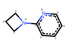 c1ccc(N2CCC2)nc1